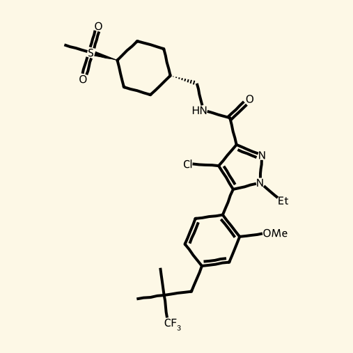 CCn1nc(C(=O)NC[C@H]2CC[C@H](S(C)(=O)=O)CC2)c(Cl)c1-c1ccc(CC(C)(C)C(F)(F)F)cc1OC